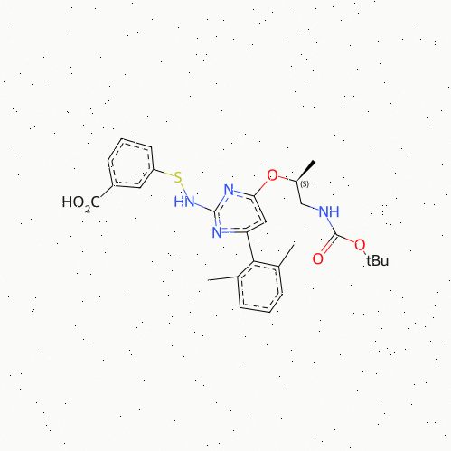 Cc1cccc(C)c1-c1cc(O[C@@H](C)CNC(=O)OC(C)(C)C)nc(NSc2cccc(C(=O)O)c2)n1